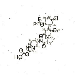 CCC(C(=O)Nc1ccc2nc(OC(=O)O)cn2c1)n1cc(OC)c(-c2cc(Cl)ccc2OC(F)F)cc1=O